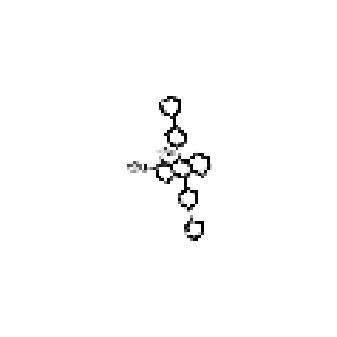 CC(C)(C)c1ccc2c(-c3ccc(-c4ccccc4)cc3)c3ccccc3c(-c3ccc(-c4ccccc4)cc3)c2c1C(C)(C)C